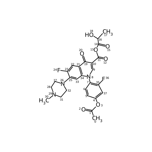 CC(=O)Oc1ccc(-n2cc(C(=O)OC(=O)C(C)O)c(=O)c3cc(F)c(N4CCN(C)CC4)cc32)c(F)c1